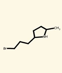 CC1CCC(CCCBr)N1